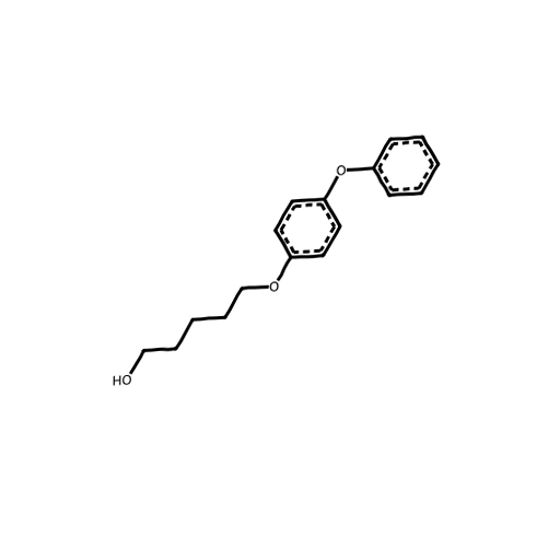 OCCCCCOc1ccc(Oc2ccccc2)cc1